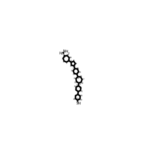 NNC1CCCC(C2CCC(C3CCC(C4CCCC(C5CCC(C6CCC(S)CC6)CC5)CC4)CC3)C2)CC1